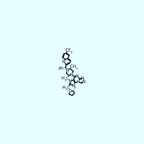 Cc1nc2c(N3C[C@@H](C)N([C@@H](c4ccc5cc(C(F)(F)F)ccc5n4)C(C)C)C[C@@H]3C)nc3nncn3c2n1C[C@@H]1CCCO1